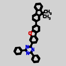 CC1(C)c2ccccc2-c2ccc(-c3ccc4c(c3)oc3cc(-c5nc(-c6ccccc6)nc(-c6ccccc6)n5)ccc34)cc21